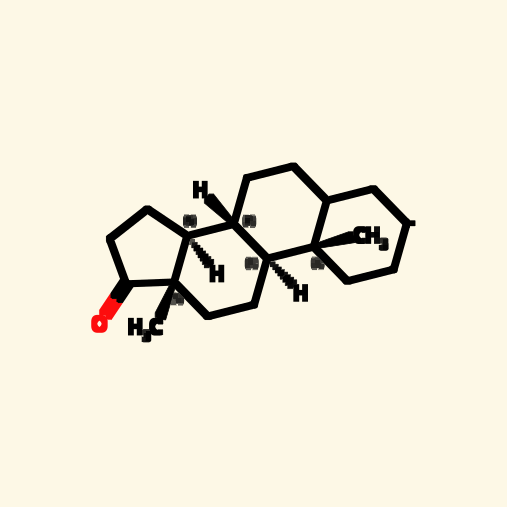 C[C@]12CC[CH]CC1CC[C@@H]1[C@@H]2CC[C@]2(C)C(=O)CC[C@@H]12